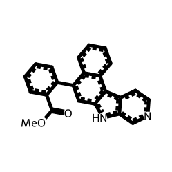 COC(=O)c1ccccc1-c1cc2[nH]c3cnccc3c2c2ccccc12